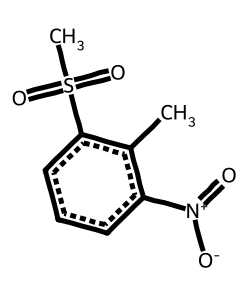 Cc1c([N+](=O)[O-])cccc1S(C)(=O)=O